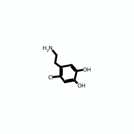 NCCc1cc(O)c(O)cc1Cl